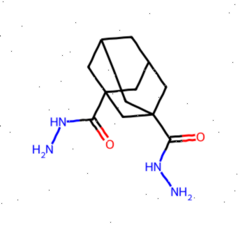 NNC(=O)C12CC3CC(C1)CC(C(=O)NN)(C3)C2